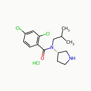 CC(C)CN(C(=O)c1ccc(Cl)cc1Cl)[C@H]1CCNC1.Cl